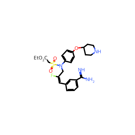 CCOC(=O)CS(=O)(=O)N(C/C(F)=C\c1cccc(C(=N)N)c1)c1ccc(OC2CCNCC2)cc1